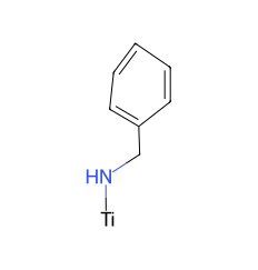 [Ti][NH]Cc1ccccc1